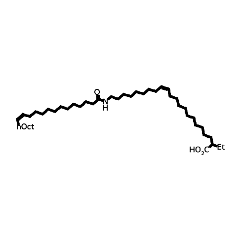 CCCCCCCC/C=C\CCCCCCCCCCCC(=O)NCCCCCCCC/C=C\CCCCCCCCCCC(CC)C(=O)O